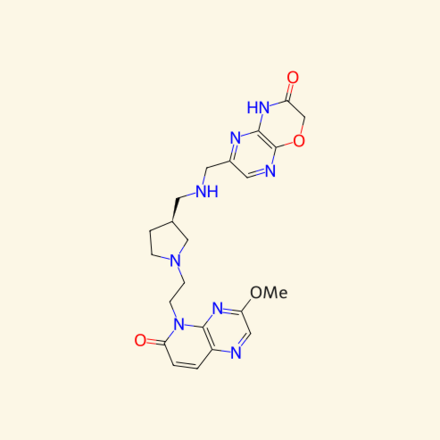 COc1cnc2ccc(=O)n(CCN3CC[C@@H](CNCc4cnc5c(n4)NC(=O)CO5)C3)c2n1